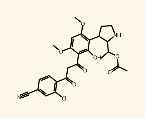 COc1cc(OC)c(C2CCNC2C(C)OC(C)=O)c(O)c1C(=O)CC(=O)c1ccc(C#N)cc1Cl